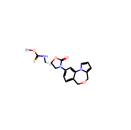 CCOC(=S)NC[C@H]1CN(c2ccc3c(c2)-n2cccc2COC3)C(=O)O1